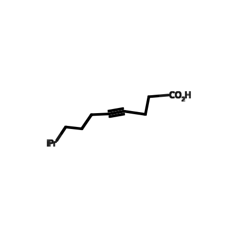 CC(C)CCCC#CCCC(=O)O